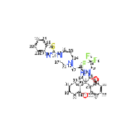 O=C(NCC(F)(F)F)C1(CCCCN2CCCN(c3nc4ccccc4s3)CC2)c2ccccc2Oc2ccccc21